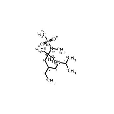 CCC(CNC(C)C)CC(C)(C)N(C)S(C)(=O)=O